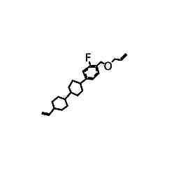 C=CCOCc1ccc(C2CCC(C3CCC(C=C)CC3)CC2)cc1F